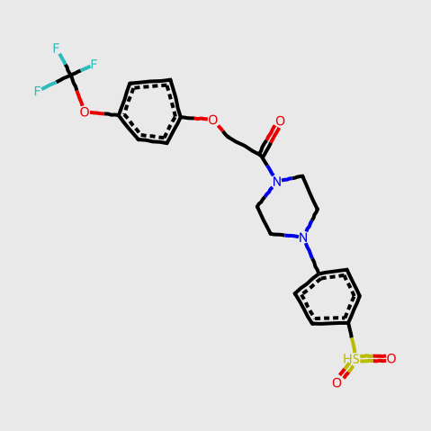 O=C(COc1ccc(OC(F)(F)F)cc1)N1CCN(c2ccc([SH](=O)=O)cc2)CC1